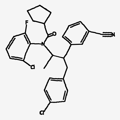 CC(C(Cc1ccc(Cl)cc1)c1cccc(C#N)c1)N(C(=O)C1CCCC1)c1c(F)cccc1Cl